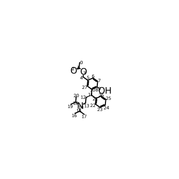 CC(=O)OCc1ccc(O)c([C@H](CCN(C(C)C)C(C)C)c2ccccc2)c1